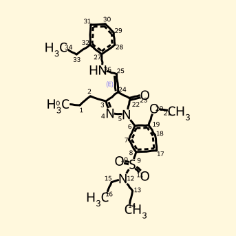 CCCC1=NN(c2cc(S(=O)(=O)N(CC)CC)ccc2OC)C(=O)/C1=C/Nc1ccccc1CC